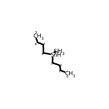 CCC[CH2][SnH]([SiH3])[CH2]CCC